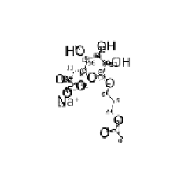 CC(=O)OCCCO[C@H]1O[C@H](CS(=O)(=O)[O-])[C@@H](O)[C@H](O)[C@H]1O.[Na+]